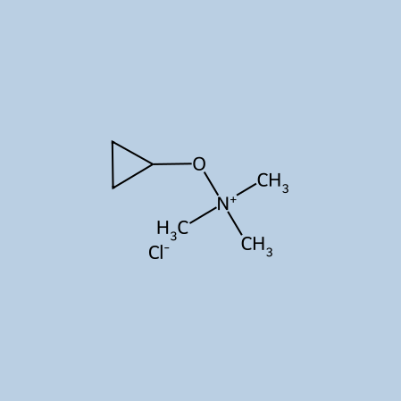 C[N+](C)(C)OC1CC1.[Cl-]